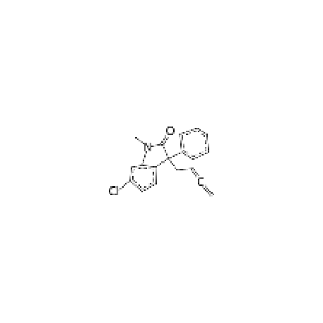 C=C=CCC1(c2ccccc2)C(=O)N(C)c2cc(Cl)ccc21